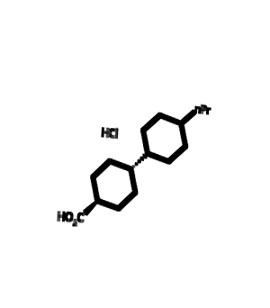 CCCC1CCC([C@H]2CC[C@H](C(=O)O)CC2)CC1.Cl